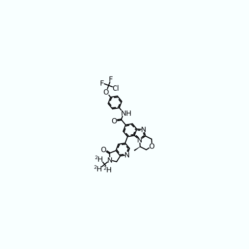 [2H]C([2H])([2H])N1Cc2ncc(-c3cc(C(=O)Nc4ccc(OC(F)(F)Cl)cc4)cc4nc5n(c34)[C@H](C)COC5)cc2C1=O